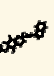 CC(=O)Oc1c(C)c(C)c2c(c1C)CCC(C)(C#Cc1csc3ccccc13)O2